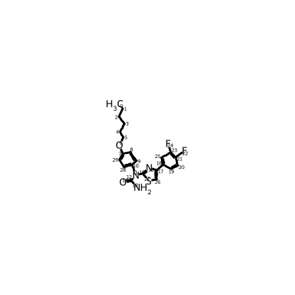 CCCCCCOc1ccc(N(C(N)=O)c2nc(-c3ccc(F)c(F)c3)cs2)cc1